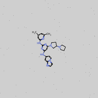 Cc1cc(C)nc(Nc2nc(Nc3ccn4ccnc4c3)cc(N3CCC(N4CCCC4)C3)n2)c1